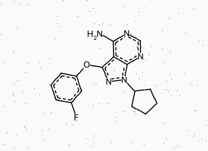 Nc1ncnc2c1c(Oc1cccc(F)c1)nn2C1CCCC1